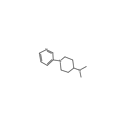 CN(C)C1CCN(c2[c]nccc2)CC1